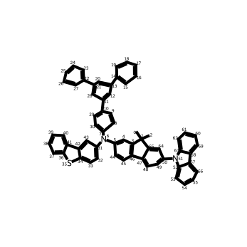 CC1(C)c2cc(N(c3ccc(-c4cc(-c5ccccc5)cc(-c5ccccc5)c4)cc3)c3ccc4sc5ccccc5c4c3)ccc2-c2ccc(-n3c4ccccc4c4ccccc43)cc21